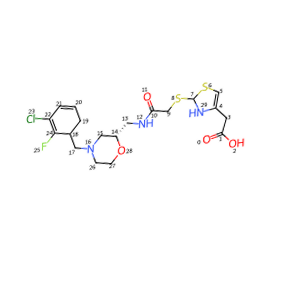 O=C(O)CC1=CSC(SCC(=O)NC[C@H]2CN(CC3CC=CC(Cl)=C3F)CCO2)N1